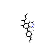 CCCC(C)C(C(C)C)C1CCN[C@H](C)C1C(C)C1CCC(CC)CC1